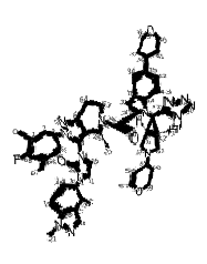 Cc1cc(-n2nc3c(c2-n2ccn(-c4ccc5c(cnn5C)c4F)c2=O)[C@H](C)N(C(=O)c2cc4cc(C5CCOCC5)ccc4n2C2(c4nnn[nH]4)[C@@H]4CN(C5CCOCC5)C[C@@H]42)CC3)cc(C)c1F